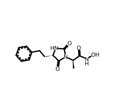 C[C@H](C(=O)NO)N1C(=O)N[C@@H](CCc2ccccc2)C1=O